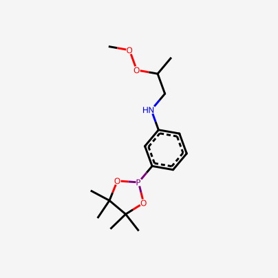 COOC(C)CNc1cccc(P2OC(C)(C)C(C)(C)O2)c1